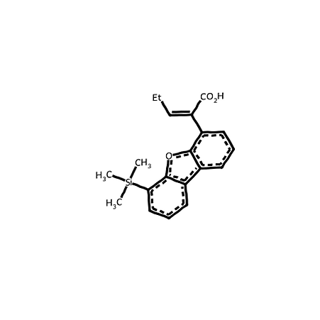 CCC=C(C(=O)O)c1cccc2c1oc1c([Si](C)(C)C)cccc12